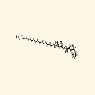 CCCCCCCCCCCCCCCCCCOCC(COC(=O)c1cccc(C[n+]2ccsc2)c1)OC